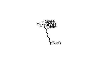 CCCCCCCCCCCCCCCCC(C)[Si](CO)(OC)OC